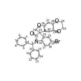 O=C1N(C(c2ccccc2)c2ccccc2)c2ccc(Br)cc2C12COc1cc3c(cc12)OCCO3